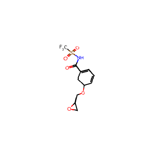 O=C(NS(=O)(=O)C(F)(F)F)C1=CC=CC(OCC2CO2)C1